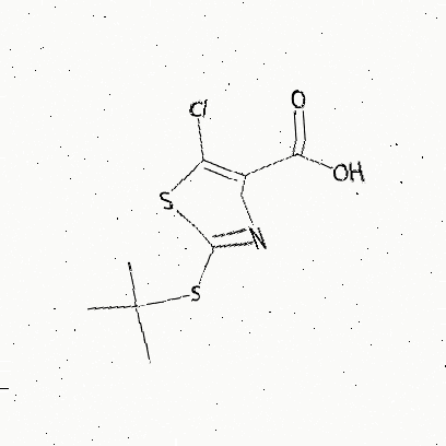 CC(C)(C)Sc1nc(C(=O)O)c(Cl)s1